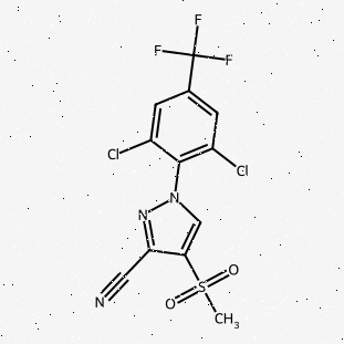 CS(=O)(=O)c1cn(-c2c(Cl)cc(C(F)(F)F)cc2Cl)nc1C#N